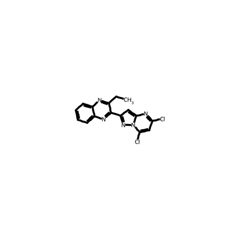 CCc1nc2ccccc2nc1-c1cc2nc(Cl)cc(Cl)n2n1